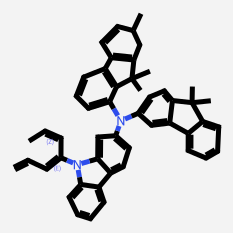 C=C/C=C(\C=C/C)n1c2ccccc2c2ccc(N(c3ccc4c(c3)-c3ccccc3C4(C)C)c3cccc4c3C(C)(C)C3=C4C=CC(C)C3)cc21